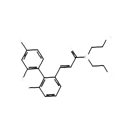 O=C(/C=C/c1cc[c]c(Cl)c1-c1ccc(Cl)cc1Cl)N(CCO)CCO